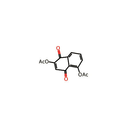 CC(=O)OC1=CC(=O)c2c(OC(C)=O)cccc2C1=O